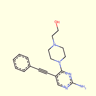 Nc1ncc(C#Cc2ccccc2)c(N2CCN(CCO)CC2)n1